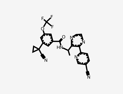 CC(NC(=O)c1cc(OC(F)(F)F)cc(C2(C#N)CC2)c1)c1nccnc1-c1ccc(C#N)cn1